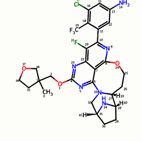 CC1(COc2nc3c4c(nc(-c5cc(N)cc(Cl)c5C(F)(F)F)c(F)c4n2)OCC[C@@H]2[C@@H]4CC[C@H](CN32)N4)CCOC1